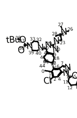 Cc1c(Cl)cc2c(cnn2C2CCCCO2)c1[C@@H]1Cc2nc(N3CC(N(C)C)C3)nc(N3CCN(C(=O)OC(C)(C)C)CC3)c2C[C@H]1C